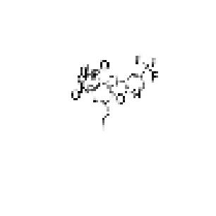 CCCc1cc([N+](=O)[O-])c([PH](=O)Cl)cc1Oc1ncc(C(F)(F)F)cc1Cl